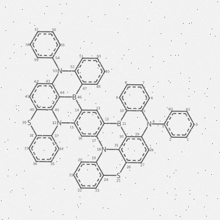 c1ccc(N2c3ccccc3B3c4cc5c(cc4N4c6ccccc6Sc6ccc2c3c64)N2c3ccccc3Sc3ccc4c(c32)B5c2ccccc2N4c2ccccc2)cc1